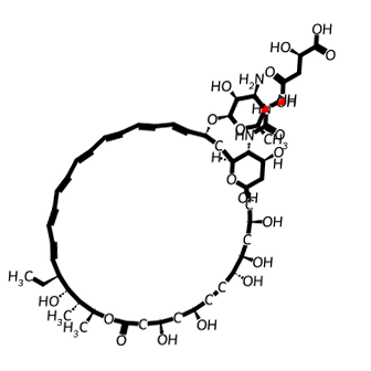 CC[C@H]1/C=C/C=C/C=C/C=C/C=C/C=C/C=C/[C@H](O[C@@H]2O[C@H](C)[C@@H](O)[C@H](N)[C@@H]2O)C[C@@H]2O[C@](O)(C[C@@H](O)C[C@@H](O)[C@H](O)CC[C@@H](O)C[C@@H](O)CC(=O)O[C@@H](C)[C@H](C)[C@@H]1O)C[C@H](O)[C@H]2NC(=O)NNC(=O)C[C@@H](O)C(=O)O